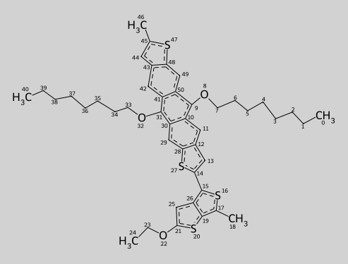 CCCCCCCCOc1c2cc3cc(-c4sc(C)c5sc(OCC)cc45)sc3cc2c(OCCCCCCCC)c2cc3cc(C)sc3cc12